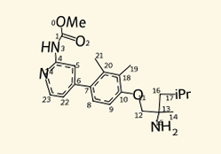 COC(=O)Nc1cc(-c2ccc(OCC(C)(N)CC(C)C)c(C)c2C)ccn1